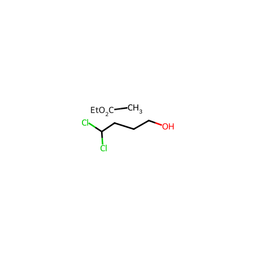 CCOC(C)=O.OCCCC(Cl)Cl